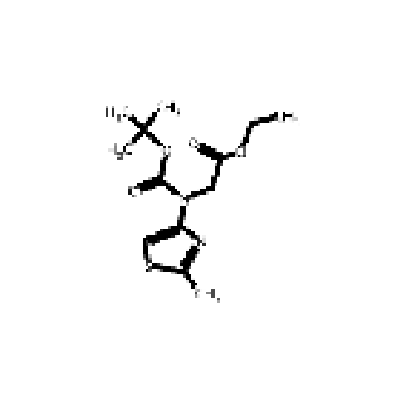 CCOC(=O)CN(C(=O)OC(C)(C)C)c1csc(C)n1